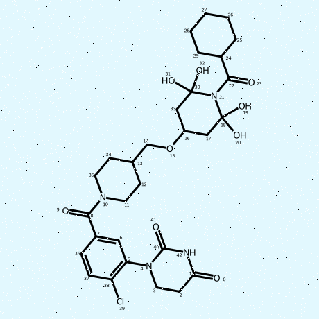 O=C1CCN(c2cc(C(=O)N3CCC(COC4CC(O)(O)N(C(=O)C5CCCCC5)C(O)(O)C4)CC3)ccc2Cl)C(=O)N1